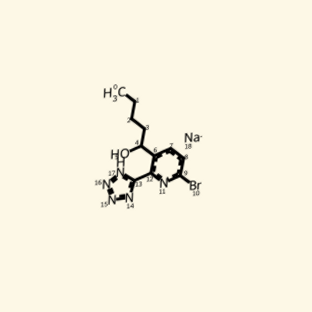 CCCCC(O)c1ccc(Br)nc1-c1nnn[nH]1.[Na]